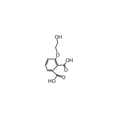 O=C(O)c1cccc(OCCO)c1C(=O)O